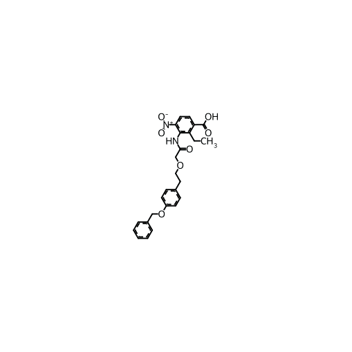 CCc1c(C(=O)O)ccc([N+](=O)[O-])c1NC(=O)COCCc1ccc(OCc2ccccc2)cc1